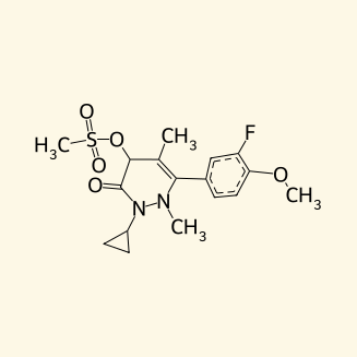 COc1ccc(C2=C(C)C(OS(C)(=O)=O)C(=O)N(C3CC3)N2C)cc1F